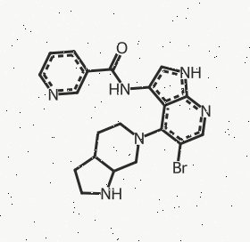 O=C(Nc1c[nH]c2ncc(Br)c(N3CCC4CCNC4C3)c12)c1cccnc1